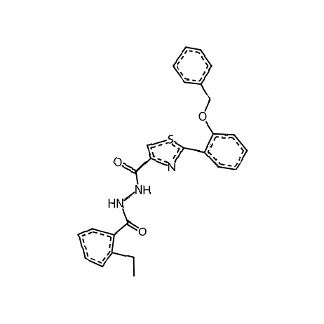 CCc1ccccc1C(=O)NNC(=O)c1csc(-c2ccccc2OCc2ccccc2)n1